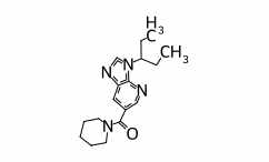 CCC(CC)n1cnc2cc(C(=O)N3CCCCC3)cnc21